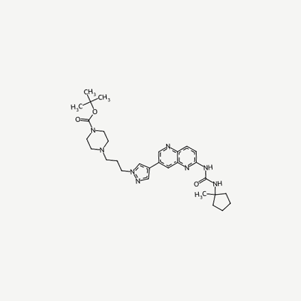 CC1(NC(=O)Nc2ccc3ncc(-c4cnn(CCCN5CCN(C(=O)OC(C)(C)C)CC5)c4)cc3n2)CCCC1